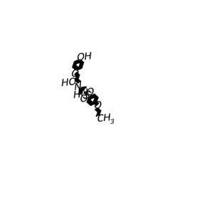 CCCCOc1ccc(S(=O)(=O)N2CC(NC[C@H](O)COc3ccc(O)cc3)C2)cc1